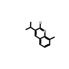 Cc1cccc2cc(C(C)C)c(Cl)nc12